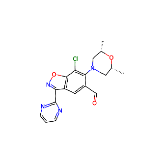 C[C@@H]1CN(c2c(C=O)cc3c(-c4ncccn4)noc3c2Cl)C[C@H](C)O1